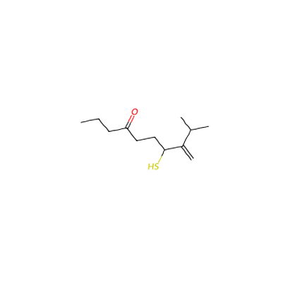 C=C(C(C)C)C(S)CCC(=O)CCC